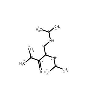 CC(C)NCC(NC(C)C)C(=O)C(C)C